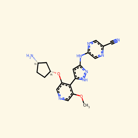 COc1cncc(O[C@@H]2CC[C@H](N)C2)c1-c1cc(Nc2cnc(C#N)cn2)n[nH]1